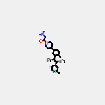 C=C(F)/C=C(\C=C/C(C)CC)C(/CCC)=C(/c1cc(C2CCN(C(=O)CN(C)C)CC2)ccc1C)C(C)C